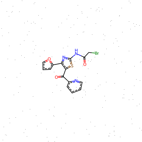 O=C(CBr)Nc1nc(-c2ccco2)c(C(=O)c2ccccn2)s1